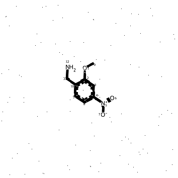 COc1cc([N+](=O)[O-])ccc1CN